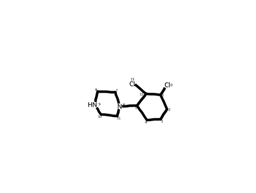 ClC1CCCC(N2CCNCC2)C1Cl